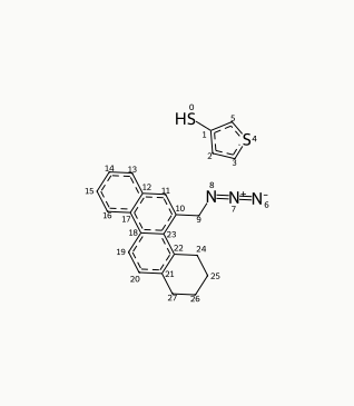 Sc1ccsc1.[N-]=[N+]=NCc1cc2ccccc2c2ccc3c(c12)CCCC3